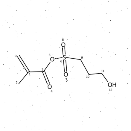 C=C(C)C(=O)OS(=O)(=O)CCCO